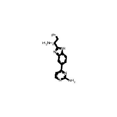 CC(C)C[C@@H](N)c1nc2cc(-c3ccnc(N)n3)ccc2[nH]1